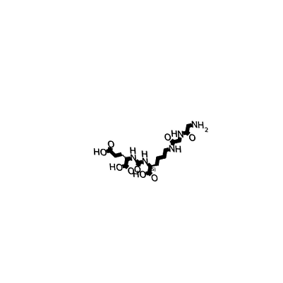 NCC(=O)NCC(=O)NCCCC[C@H](NC(=O)N[C@@H](CCC(=O)O)C(=O)O)C(=O)O